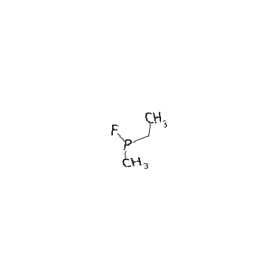 CCP(C)F